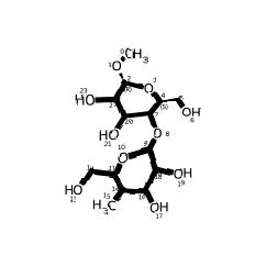 CO[C@@H]1O[C@@H](CO)C(OC2OC(CO)C(C)C(O)C2O)C(O)C1O